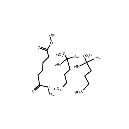 CCCCC(CCCC)(CCCC(=O)O)C(=O)O.CCCCC(CCCC)(CCCC(=O)O)C(=O)O.CCCCOC(=O)CCCCC(=O)OCCCC